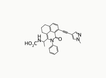 CC(NC(=O)O)c1c2c3c(ccc(C#Cc4cnn(C)c4)c3c(=O)n1-c1ccccc1)CCC2